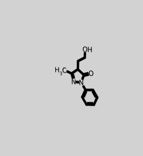 CC1=NN(c2ccccc2)C(=O)C1CCO